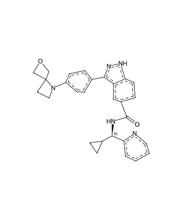 O=C(N[C@@H](c1ccccn1)C1CC1)c1ccc2[nH]nc(-c3ccc(N4CCC45COC5)cc3)c2c1